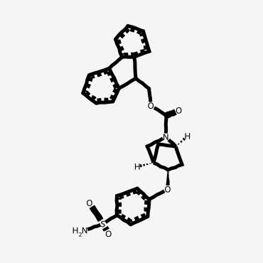 NS(=O)(=O)c1ccc(O[C@@H]2C[C@H]3C[C@@H]2CN3C(=O)OCC2c3ccccc3-c3ccccc32)cc1